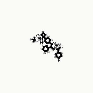 CC(C)(C)OC(=O)NC1(c2ccc(-c3nc4ncc(-c5ccc(F)cc5)n4cc3-c3ccccc3)cc2)CCC1